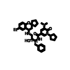 CCc1ccc2c(c1)C(NC[C@@H](O)[C@H](Cc1ccccc1)NC(=O)c1cc(N(C)C)c(=O)n(C3CCCC3)c1)CC1(CCCC1)O2